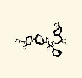 CCN1CCN(c2ccc(NC(=O)C(NC[C@@H](C)c3ccc(Cl)cc3)c3ccccc3)nc2)CC1=O